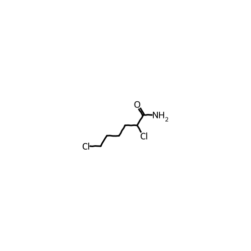 NC(=O)C(Cl)CCCCCl